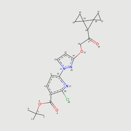 CC(C)(C)OC(=O)c1ccc(-n2ccc(OCC(=O)C3C4(CC4)C34CC4)n2)nc1Cl